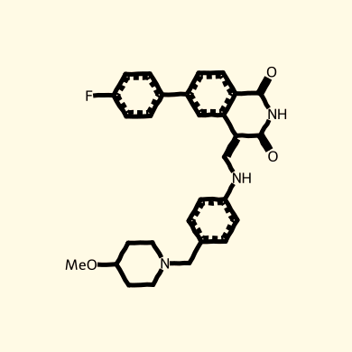 COC1CCN(Cc2ccc(N/C=C3\C(=O)NC(=O)c4ccc(-c5ccc(F)cc5)cc43)cc2)CC1